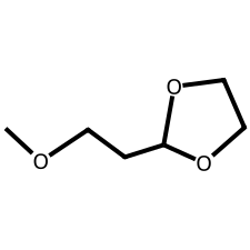 COCCC1OCCO1